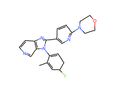 CC1=CC(F)CC=C1n1c(-c2ccc(N3CCOCC3)nc2)nc2ccncc21